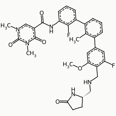 COc1cc(-c2cccc(-c3cccc(NC(=O)c4cn(C)c(=O)n(C)c4=O)c3F)c2C)cc(F)c1CNC[C@@H]1CCC(=O)N1